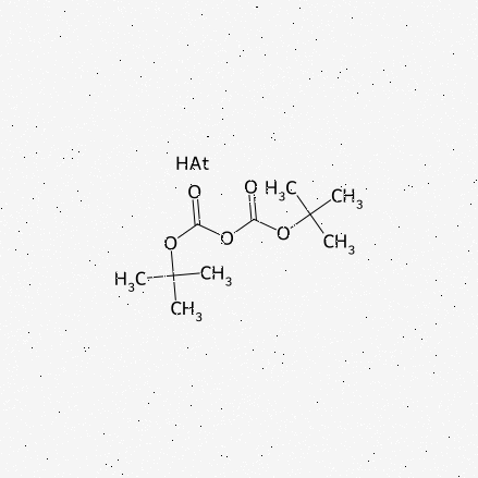 CC(C)(C)OC(=O)OC(=O)OC(C)(C)C.[AtH]